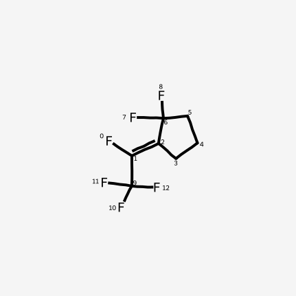 FC(=C1CCCC1(F)F)C(F)(F)F